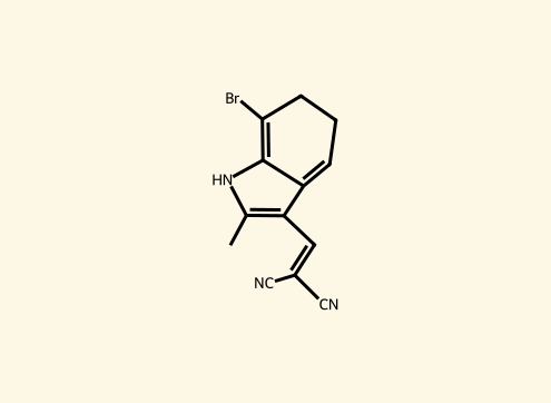 Cc1[nH]c2c(c1C=C(C#N)C#N)=CCCC=2Br